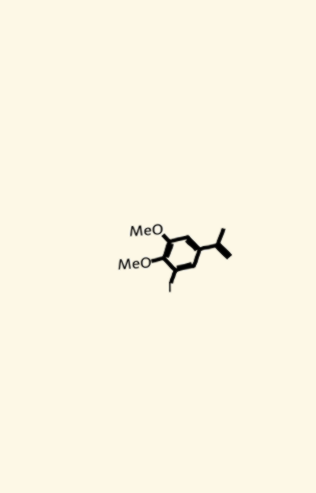 C=C(C)c1cc(I)c(OC)c(OC)c1